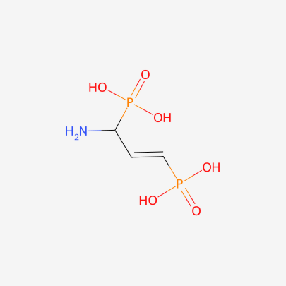 NC(C=CP(=O)(O)O)P(=O)(O)O